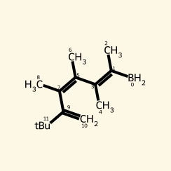 B/C(C)=C(C)/C(C)=C(/C)C(=C)C(C)(C)C